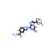 C=C(C)c1cnc2c(NCc3cccc(C(N)=O)c3)nc(Br)cn12